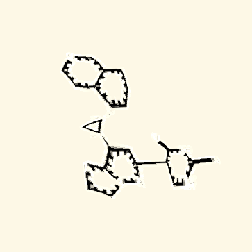 O=c1[nH]cc(-c2cc([C@H]3C[C@@H]3c3cccc4cnccc34)c3nccn3n2)c(=O)[nH]1